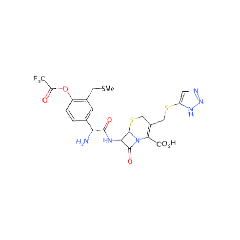 CSCc1cc(C(N)C(=O)NC2C(=O)N3C(C(=O)O)=C(CSc4cnn[nH]4)CSC23)ccc1OC(=O)C(F)(F)F